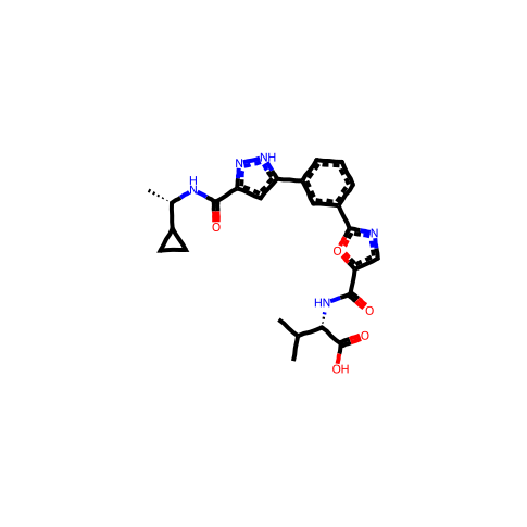 CC(C)[C@H](NC(=O)c1cnc(-c2cccc(-c3cc(C(=O)N[C@@H](C)C4CC4)n[nH]3)c2)o1)C(=O)O